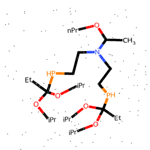 CCCOC(C)N(CCPC(CC)(OC(C)C)OC(C)C)CCPC(CC)(OC(C)C)OC(C)C